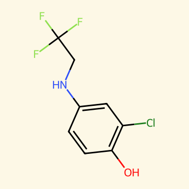 Oc1ccc(NCC(F)(F)F)cc1Cl